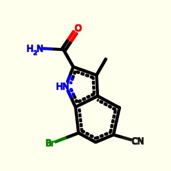 Cc1c(C(N)=O)[nH]c2c(Br)cc(C#N)cc12